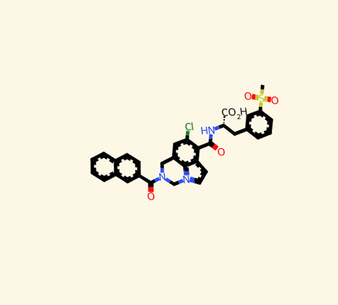 CS(=O)(=O)c1cccc(C[C@H](NC(=O)c2c(Cl)cc3c4c2ccn4CN(C(=O)c2ccc4ccccc4c2)C3)C(=O)O)c1